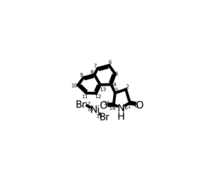 O=C1CC(c2cccc3ccccc23)C(=O)N1.[Br][Ni][Br]